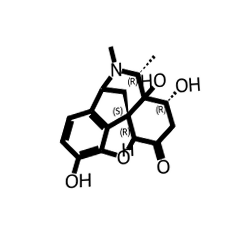 C[C@H]1N(C)C2C[C@]34c5c2ccc(O)c5O[C@H]3C(=O)C[C@@H](O)C14O